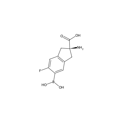 N[C@]1(C(=O)O)Cc2cc(F)c(B(O)O)cc2C1